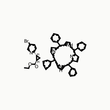 C1=Cc2nc1c(-c1ccccc1)c1ccc([nH]1)c(-c1ccccc1)c1nc(c(-c3ccccc3)c3ccc([nH]3)c2-c2ccccc2)C=C1.CCOC(=O)[C@@H]1C[C@H]1c1ccc(Br)cn1